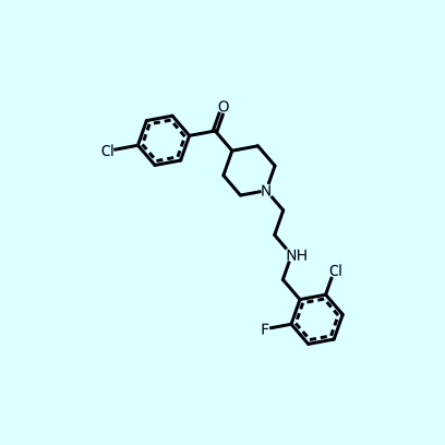 O=C(c1ccc(Cl)cc1)C1CCN(CCNCc2c(F)cccc2Cl)CC1